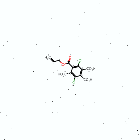 C=CCOC(=O)c1c(Cl)c(C(=O)O)c(C(=O)O)c(Cl)c1C(=O)O